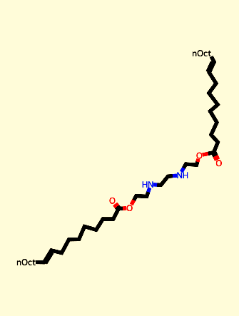 CCCCCCCCC=CCCCCCCCC(=O)OCCNCCNCCOC(=O)CCCCCCCC=CCCCCCCCC